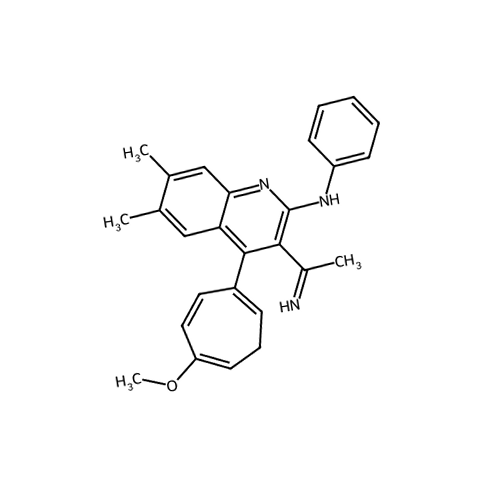 COC1=CCC=C(c2c(C(C)=N)c(Nc3ccccc3)nc3cc(C)c(C)cc23)C=C1